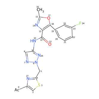 CC(=O)c1csc(Cn2ncc(NC(=O)c3nc(C)oc3-c3cccc(F)c3)n2)n1